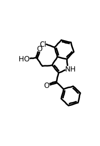 O=C(O)Cc1c(C(=O)c2ccccc2)[nH]c2cccc(Cl)c12